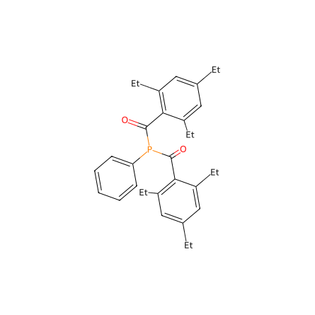 CCc1cc(CC)c(C(=O)P(C(=O)c2c(CC)cc(CC)cc2CC)c2ccccc2)c(CC)c1